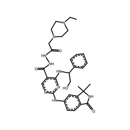 CCN1CCN(CC(=O)NNC(=O)c2cnc(Nc3ccc4c(c3)C(C)(C)NC4=O)nc2NC(CO)c2ccccc2)CC1